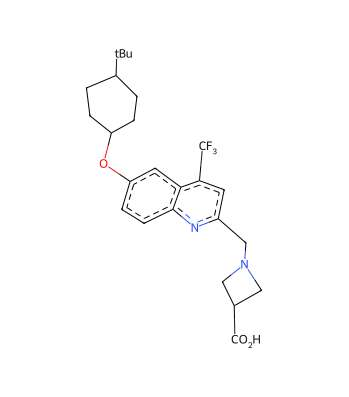 CC(C)(C)C1CCC(Oc2ccc3nc(CN4CC(C(=O)O)C4)cc(C(F)(F)F)c3c2)CC1